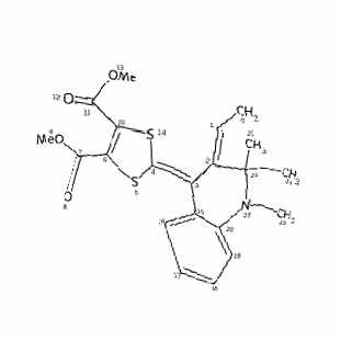 CC=C1C(=C2SC(C(=O)OC)=C(C(=O)OC)S2)c2ccccc2N(C)C1(C)C